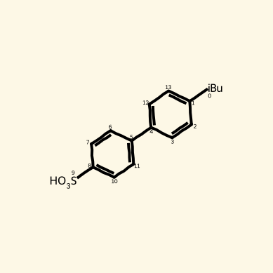 CCC(C)c1ccc(-c2ccc(S(=O)(=O)O)cc2)cc1